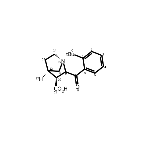 CC(C)(C)c1ccccc1C(=O)C1[C@@H](C(=O)O)[C@H]2CC[N@@]1C2